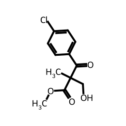 COC(=O)C(C)(CO)C(=O)c1ccc(Cl)cc1